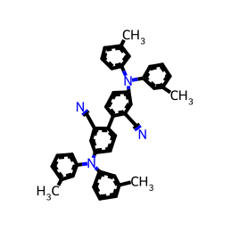 Cc1cccc(N(c2cccc(C)c2)c2ccc(-c3ccc(N(c4cccc(C)c4)c4cccc(C)c4)cc3C#N)c(C#N)c2)c1